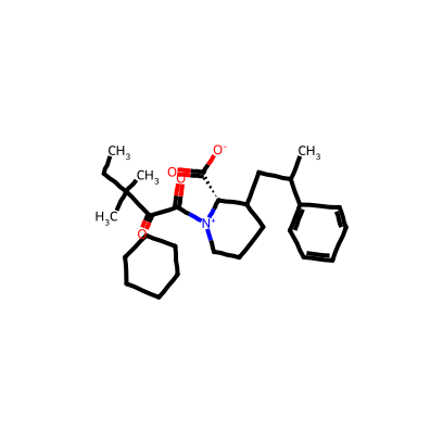 CCC(C)(C)C(=O)C(=O)[N@@+]1(C2CCCCC2)CCCC(CC(C)c2ccccc2)[C@H]1C(=O)[O-]